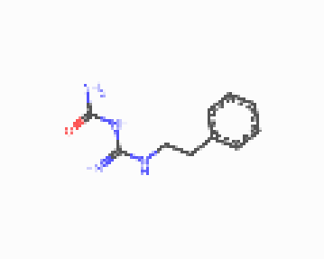 N=C(NCCc1ccccc1)NC(N)=O